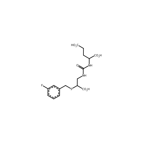 O=C(O)CCC(NC(=O)NCC(SCc1cccc(F)c1)C(=O)O)C(=O)O